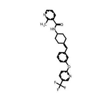 Cc1ncccc1C(=O)NC1CCC(=Cc2cccc(Oc3ccc(C(F)(F)F)cn3)c2)CC1